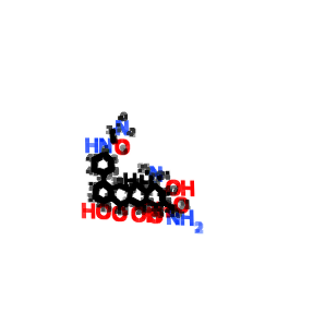 CN(C)CC(=O)Nc1ccc(-c2ccc(O)c3c2C[C@H]2C[C@H]4[C@H](N(C)C)C(O)=C(C(N)=O)C(=O)[C@@]4(O)C(O)=C2C3=O)cc1